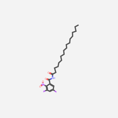 CCCCCCCCCCCCCCCCCC(=O)NC(=O)c1cc(I)cc(I)c1I(=O)=O